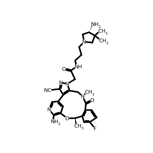 C[C@H]1Oc2cc(cnc2N)-c2c(C#N)nn(CC(=O)NCCCN3C[C@H](N)C(C)(C)C3)c2CN(C)C(=O)c2ccc(F)cc21